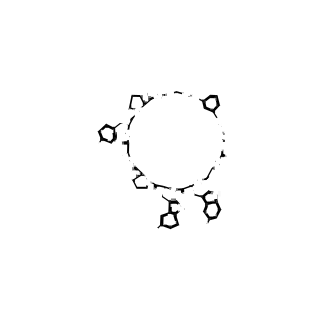 C[C@@H]1NC(=O)[C@@H]2CCCN2C(=O)[C@H](Cc2c[nH]c3ccc(F)cc23)NC(=O)[C@H](Cc2c[nH]c3ccc(F)cc23)NC(=O)[C@@H](C)NC(=O)CCSCc2cccc(c2)CSCCNC(=O)[C@@H]2CCCN2C(=O)[C@H](Cc2ccc(O)cc2)NC1=O